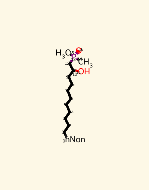 CCCCCCCCCCCCCCCCCCC(O)CP(C)(C)=O